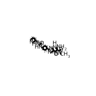 CNC(=O)c1c(N)[nH]c2nc(-c3ccc(NC(=O)NCc4cccnc4)cc3)ncc2c1=O